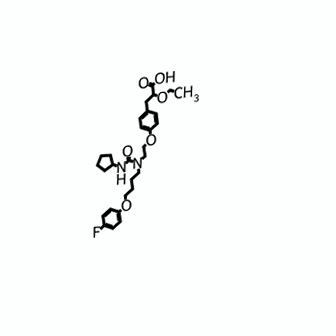 CCOC(Cc1ccc(OCCN(CCCCOc2ccc(F)cc2)C(=O)NC2CCCC2)cc1)C(=O)O